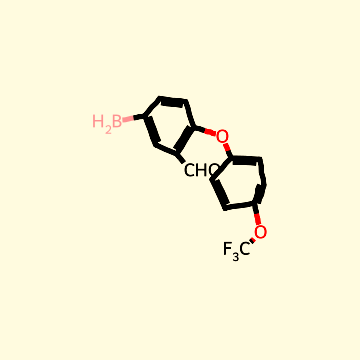 Bc1ccc(Oc2ccc(OC(F)(F)F)cc2)c(C=O)c1